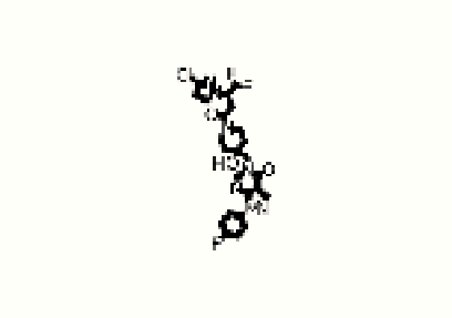 O=C(CC(C(F)F)n1ccc(Cl)n1)N1CCC(O)(Cn2cnc3c(cnn3-c3ccc(F)cc3)c2=O)CC1